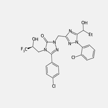 CCC(O)c1nc(Cn2nc(-c3ccc(Cl)cc3)n(C[C@H](O)C(F)(F)F)c2=O)nn1-c1ccccc1Cl